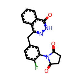 O=C1CCC(=O)N1c1cc(Cc2n[nH]c(=O)c3ccccc23)ccc1F